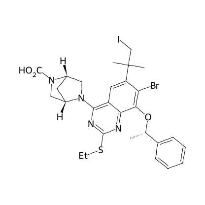 CCSc1nc(N2C[C@@H]3C[C@H]2CN3C(=O)O)c2cc(C(C)(C)CI)c(Br)c(O[C@@H](C)c3ccccc3)c2n1